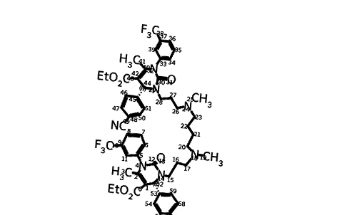 CCOC(=O)C1=C(C)N(c2cccc(C(F)(F)F)c2)C(=O)N(CCCN(C)CCCCN(C)CCCN2C(=O)N(c3cccc(C(F)(F)F)c3)C(C)=C(C(=O)OCC)[C@H]2c2ccc(C#N)cc2)[C@@H]1c1ccc(C#N)cc1